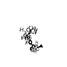 CC(C)(C#N)CCS(=O)(=O)Nc1ccc(-c2cc(NC(=O)C3CC3)nc3[nH]ccc23)cc1F